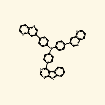 c1cnc2cc(-c3ccc(N(c4ccc(-c5cnc6cccnc6c5)cc4)c4ccc(-c5ncnc6sc7ccccc7c56)cc4)cc3)cnc2c1